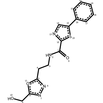 O=C(NCCc1nnc(CO)o1)c1ncc(-c2ccccc2)s1